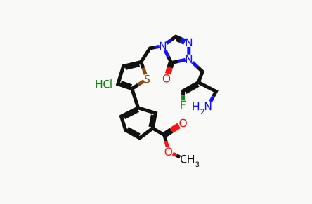 COC(=O)c1cccc(-c2ccc(Cn3cnn(CC(=CF)CN)c3=O)s2)c1.Cl